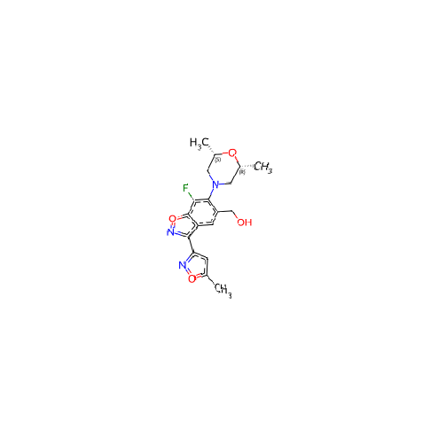 Cc1cc(-c2noc3c(F)c(N4C[C@@H](C)O[C@@H](C)C4)c(CO)cc23)no1